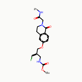 CC(C)NC(=O)CN1CCc2cc(OC/C(=C/F)CNC(=O)OC(C)(C)C)ccc2C1=O